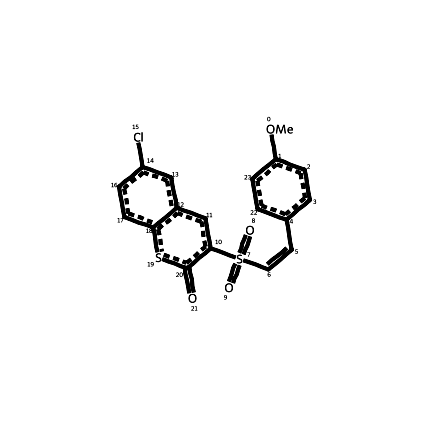 COc1ccc(/C=C\S(=O)(=O)c2cc3cc(Cl)ccc3sc2=O)cc1